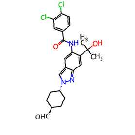 CC(C)(O)c1cc2nn([C@H]3CC[C@H](C=O)CC3)cc2cc1NC(=O)c1ccc(Cl)c(Cl)c1